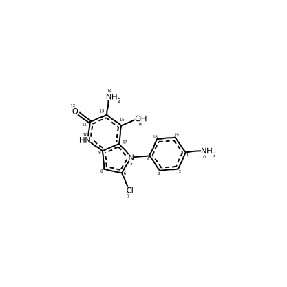 Nc1ccc(-n2c(Cl)cc3[nH]c(=O)c(N)c(O)c32)cc1